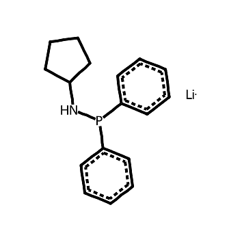 [Li].c1ccc(P(NC2CCCC2)c2ccccc2)cc1